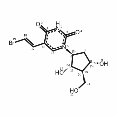 O=c1[nH]c(=O)n([C@H]2C[C@H](O)[C@@H](CO)[C@@H]2O)cc1C=CBr